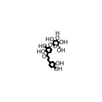 O=C(/C=C/c1ccc(O)c(O)c1)c1ccc(O[C@@H]2O[C@H](CO)[C@@H](O)[C@H](O)[C@H]2O)c(O)c1O